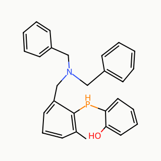 Cc1cccc(CN(Cc2ccccc2)Cc2ccccc2)c1Pc1ccccc1O